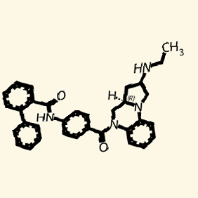 CCNC1C[C@@H]2CN(C(=O)c3ccc(NC(=O)c4ccccc4-c4ccccc4)cc3)c3ccccc3N2C1